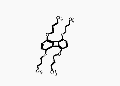 CCCCOc1ccc(OCCCC)c2c1-c1c(OCCCC)ccc(OCCCC)c1-2